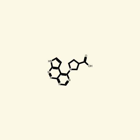 O=C(O)C1CCN(c2ncnc3nnc4[nH]ccc4c23)C1